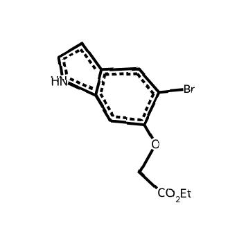 CCOC(=O)COc1cc2[nH]ccc2cc1Br